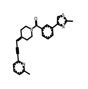 Cc1cccc(C#CC=C2CCN(C(=O)c3cccc(-c4csc(C)n4)c3)CC2)n1